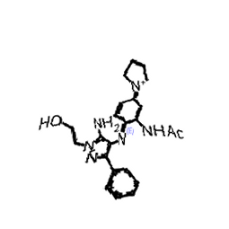 CC(=O)NC1=CC(=[N+]2CCCC2)C=C/C1=N\c1c(-c2ccccc2)nn(CCO)c1N